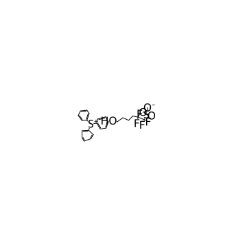 O=S(=O)([O-])C(F)(F)C(F)(F)CCCCO.c1ccc([S+](c2ccccc2)c2ccccc2)cc1